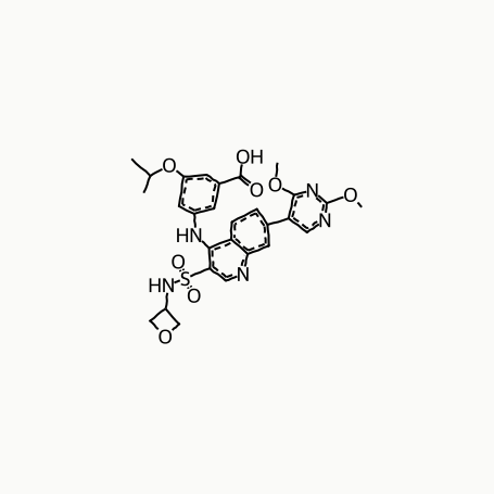 COc1ncc(-c2ccc3c(Nc4cc(OC(C)C)cc(C(=O)O)c4)c(S(=O)(=O)NC4COC4)cnc3c2)c(OC)n1